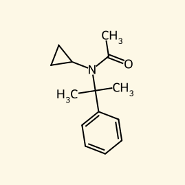 CC(=O)N(C1CC1)C(C)(C)c1ccccc1